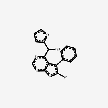 NC(c1ccco1)c1ncnc2sc(Br)c(-c3ccccc3)c12